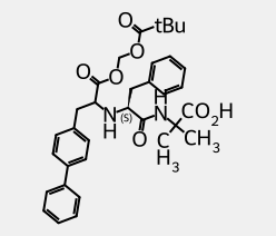 CC(C)(C)C(=O)OCOC(=O)C(Cc1ccc(-c2ccccc2)cc1)N[C@@H](Cc1ccccc1)C(=O)NC(C)(C)C(=O)O